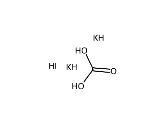 I.O=C(O)O.[KH].[KH]